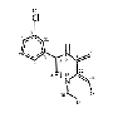 C=C(NC(CC)c1cccc(Cl)c1)C(=C/C)/N=C\C